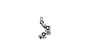 CC(=O)Nc1cccc(Nc2ncc3c(n2)-c2cc(CN4CCNCC4)sc2CO3)c1